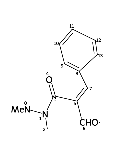 CNN(C)C(=O)C([C]=O)=Cc1ccccc1